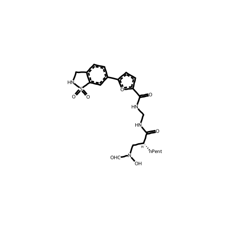 CCCCC[C@H](CN(O)C=O)C(=O)NCNC(=O)c1ccc(-c2ccc3c(c2)S(=O)(=O)NC3)o1